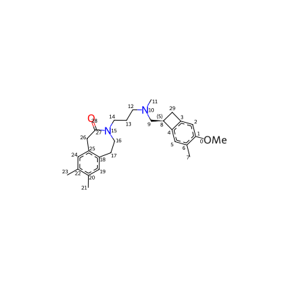 COc1cc2c(cc1C)[C@@H](CN(C)CCCN1CCc3cc(C)c(C)cc3CC1=O)C2